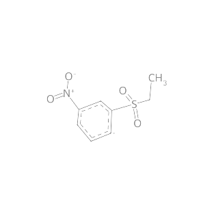 CCS(=O)(=O)c1[c]ccc([N+](=O)[O-])c1